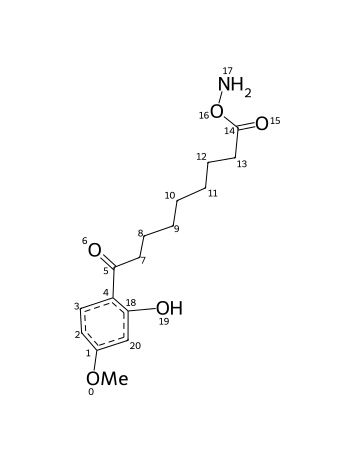 COc1ccc(C(=O)CCCCCCCC(=O)ON)c(O)c1